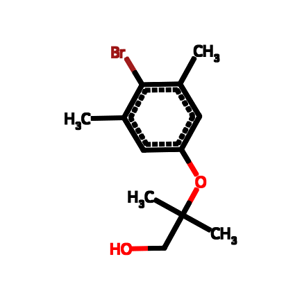 Cc1cc(OC(C)(C)CO)cc(C)c1Br